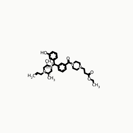 C=CCN1C[C@H](C)N(C(c2cccc(O)c2)c2cccc(C(=O)N3CCN(CCC(=O)OCC)CC3)c2)C[C@H]1C